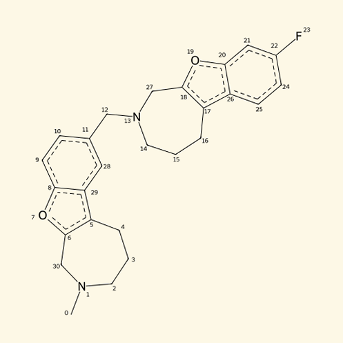 CN1CCCc2c(oc3ccc(CN4CCCc5c(oc6cc(F)ccc56)C4)cc23)C1